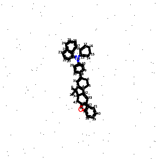 CC1(C)C2=C(CCC(c3ccc(N(C4=CCCC=C4)c4cccc5ccccc45)cc3)=C2)C2=Cc3c(oc4ccccc34)CC21